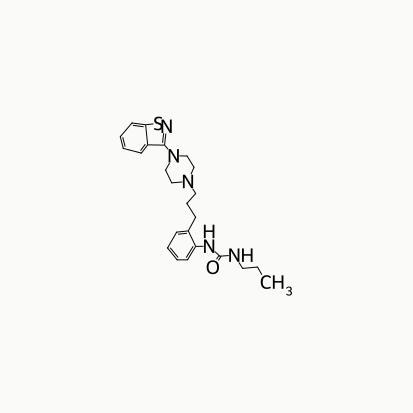 CCCNC(=O)Nc1ccccc1CCCN1CCN(c2nsc3ccccc23)CC1